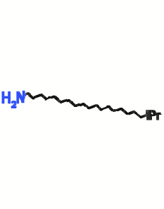 CC(C)CCCCCCCCCCCCCCCCCCN